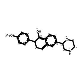 COc1ccc(C2CC=c3cc(C4CNCCO4)ccc3=C2O)cc1